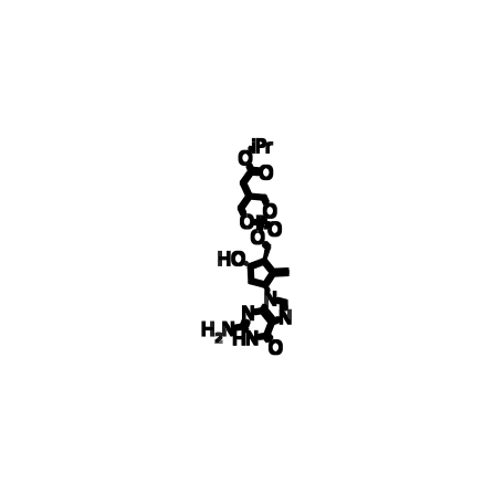 C=C1[C@H](COP2(=O)OCC(CC(=O)OC(C)C)CO2)[C@@H](O)C[C@@H]1n1cnc2c(=O)[nH]c(N)nc21